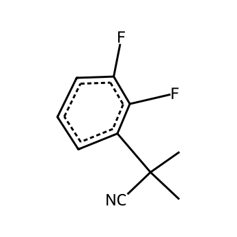 CC(C)(C#N)c1cccc(F)c1F